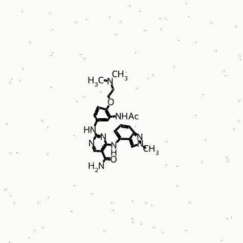 CC(=O)Nc1cc(Nc2ncc(C(N)=O)c(Nc3cccc4nn(C)cc34)n2)ccc1OCCN(C)C